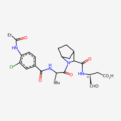 CCC(=O)Nc1ccc(C(=O)NC(C(=O)N2C3CCC(C3)C2C(=O)N[C@H](C=O)CC(=O)O)C(C)(C)C)cc1Cl